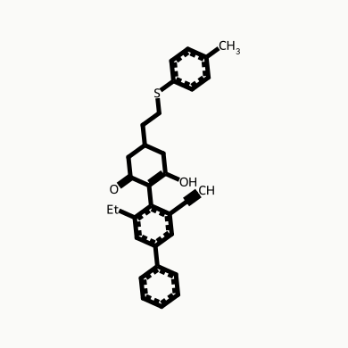 C#Cc1cc(-c2ccccc2)cc(CC)c1C1=C(O)CC(CCSc2ccc(C)cc2)CC1=O